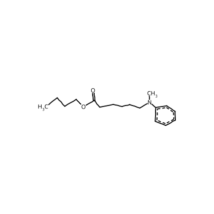 CCCCOC(=O)CCCCCN(C)c1ccccc1